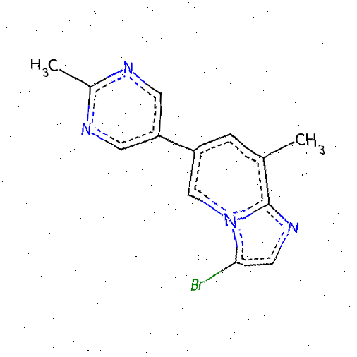 Cc1ncc(-c2cc(C)c3ncc(Br)n3c2)cn1